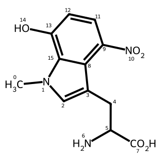 Cn1cc(CC(N)C(=O)O)c2c([N+](=O)[O-])ccc(O)c21